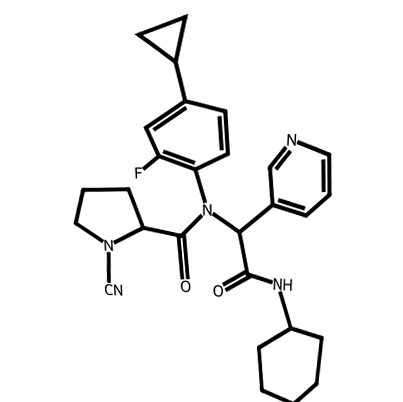 N#CN1CCCC1C(=O)N(c1ccc(C2CC2)cc1F)C(C(=O)NC1CCCCC1)c1cccnc1